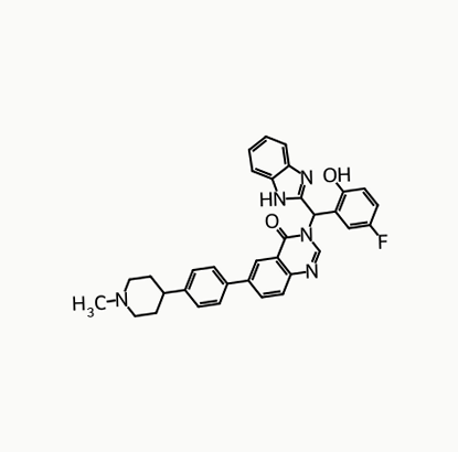 CN1CCC(c2ccc(-c3ccc4ncn(C(c5nc6ccccc6[nH]5)c5cc(F)ccc5O)c(=O)c4c3)cc2)CC1